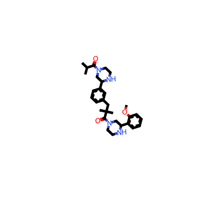 COc1ccccc1C1CN(C(=O)C(C)(C)Cc2cccc(C3CN(C(=O)C(C)C)CCN3)c2)CCN1